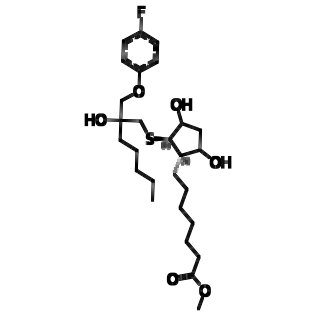 CCCCCC(O)(COc1ccc(F)cc1)CS[C@H]1C(O)CC(O)[C@@H]1CCCCCCC(=O)OC